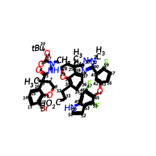 CN(NC(=O)C1(C)CCOc2c(Br)cccc21)C(=O)OC(C)(C)C.Cn1nc([C@@]2(C)CCOc3c(CCC(=O)O)cccc32)nc1-c1cc(Oc2c(F)cc3[nH]ccc3c2F)ccc1F